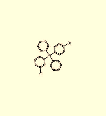 Clc1cccc([Si](c2ccccc2)(c2ccccc2)c2ccc(Br)cc2)c1